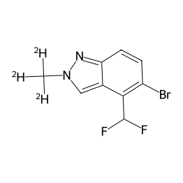 [2H]C([2H])([2H])n1cc2c(C(F)F)c(Br)ccc2n1